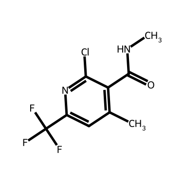 CNC(=O)c1c(C)cc(C(F)(F)F)nc1Cl